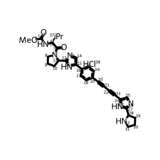 COC(=O)N[C@H](C(=O)N1CCCC1c1ncc(-c2ccc(C#CC#Cc3cnc(C4CCCN4)[nH]3)cc2)[nH]1)C(C)C.Cl